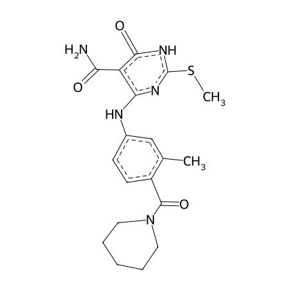 CSc1nc(Nc2ccc(C(=O)N3CCCCC3)c(C)c2)c(C(N)=O)c(=O)[nH]1